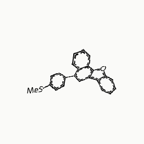 CSc1ccc(-c2cc3c4ccccc4oc3c3ccccc23)cc1